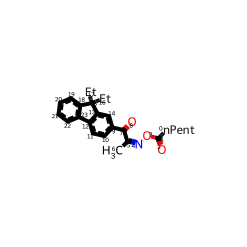 CCCCCC(=O)O/N=C(/C)C(=O)c1ccc2c(c1)C(CC)(CC)c1ccccc1-2